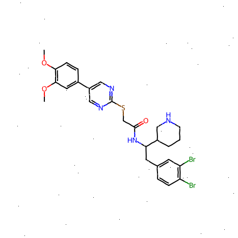 COc1ccc(-c2cnc(SCC(=O)NC(Cc3ccc(Br)c(Br)c3)C3CCCNC3)nc2)cc1OC